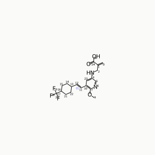 C=C(CNc1cnc(OC)c(/C=C/C2CCC(C(F)(F)F)CC2)c1)C(=O)O